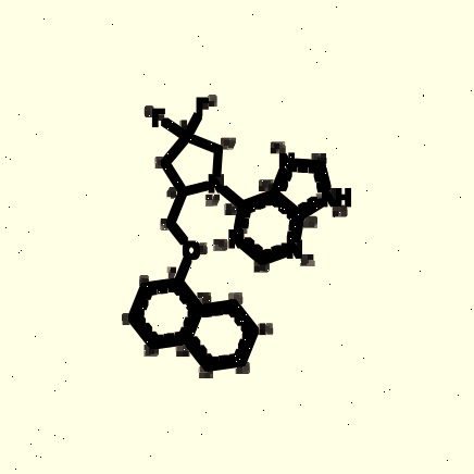 FC1(F)CC(COc2cccc3ccccc23)N(c2ncnc3[nH]cnc23)C1